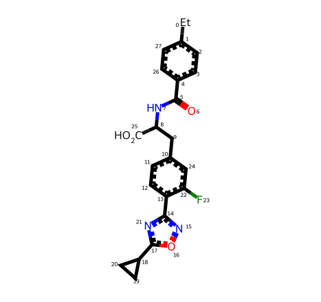 CCc1ccc(C(=O)NC(Cc2ccc(-c3noc(C4CC4)n3)c(F)c2)C(=O)O)cc1